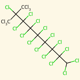 Cl[C](Cl)C(Cl)(Cl)C(Cl)(Cl)C(Cl)(Cl)C(Cl)(Cl)C(Cl)(Cl)C(Cl)(Cl)C(Cl)(C(Cl)(Cl)Cl)C(Cl)(Cl)Cl